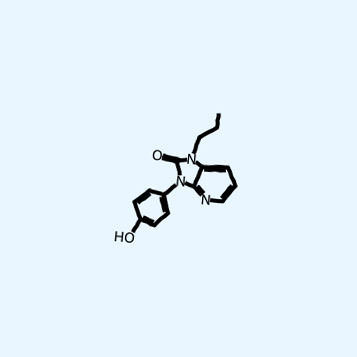 CCCn1c(=O)n(-c2ccc(O)cc2)c2ncccc21